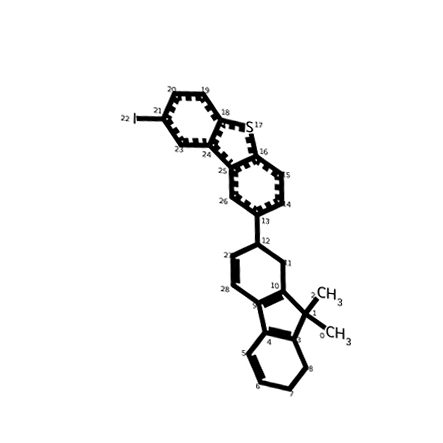 CC1(C)C2=C(C=CCC2)C2=C1CC(c1ccc3sc4ccc(I)cc4c3c1)C=C2